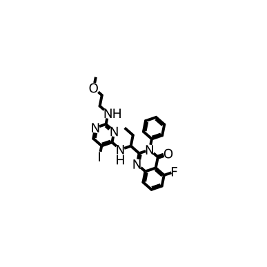 CCC(Nc1nc(NCCOC)ncc1I)c1nc2cccc(F)c2c(=O)n1-c1ccccc1